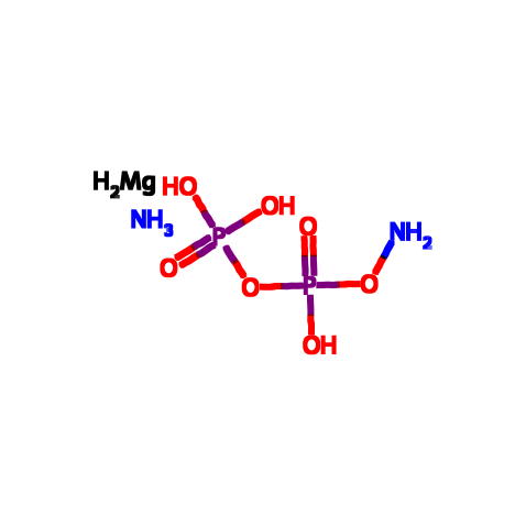 N.NOP(=O)(O)OP(=O)(O)O.[MgH2]